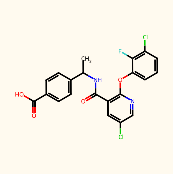 CC(NC(=O)c1cc(Cl)cnc1Oc1cccc(Cl)c1F)c1ccc(C(=O)O)cc1